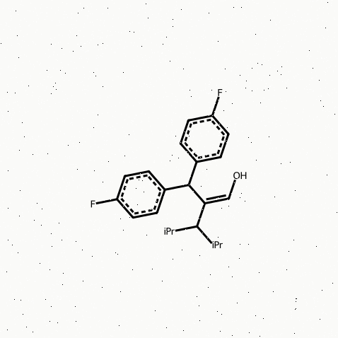 CC(C)C(/C(=C/O)C(c1ccc(F)cc1)c1ccc(F)cc1)C(C)C